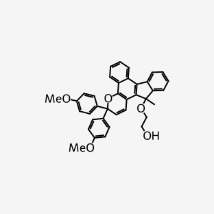 COc1ccc(C2(c3ccc(OC)cc3)C=Cc3c4c(c5ccccc5c3O2)-c2ccccc2C4(C)OCCO)cc1